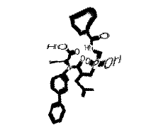 CC(C)CC(CP(=O)(O)CNC(=O)c1ccccc1)C(=O)N(c1ccc(-c2ccccc2)cc1)[C@@H](C)C(=O)O